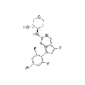 CC(C)c1cc(F)c(-c2cc(F)c3cnc(N[C@@H]4CCOC[C@H]4O)nn23)c(F)c1